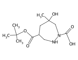 CC1(O)CC(C(=O)OC(C)(C)C)CNN(C(=O)O)C1